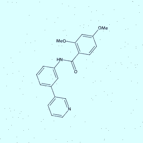 COc1ccc(C(=O)Nc2cccc(-c3cccnc3)c2)c(OC)c1